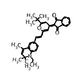 CCN1c2ccc(C=CC3=CC(=C4C(=O)c5ccccc5C4=O)C=C(C(C)(C)C)O3)cc2C(C)=CC1(C)C